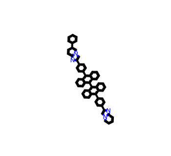 c1ccc(-c2ccc3nc(-c4ccc(-c5c6ccccc6c(-c6c7ccccc7c(-c7ccc(-c8cn9ccccc9n8)cc7)c7ccccc67)c6ccccc56)cc4)cn3c2)cc1